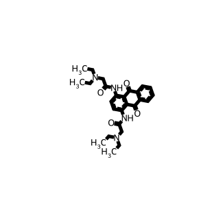 CCN(CC)CC(=O)Nc1ccc(NC(=O)CN(CC)CC)c2c1C(=O)c1ccccc1C2=O